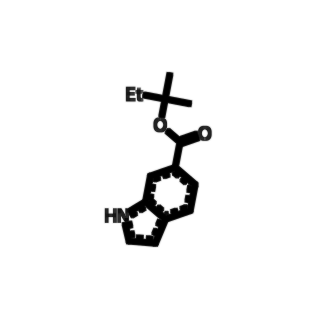 CCC(C)(C)OC(=O)c1ccc2cc[nH]c2c1